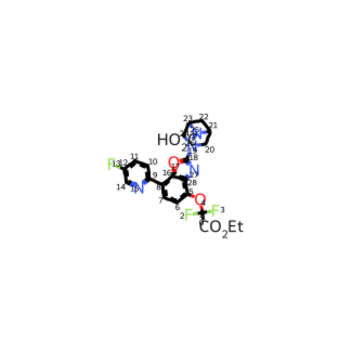 CCOC(=O)C(F)(F)Oc1ccc(-c2ccc(F)cn2)c2oc(N3CC4CC(C3)N4C(=O)O)nc12